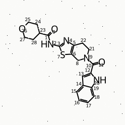 O=C(Nc1nc2c(s1)CN(C(=O)c1cc3ccccc3[nH]1)CC2)C1CCOCC1